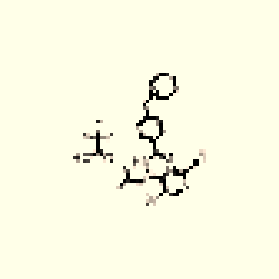 CC(C)CN(NC(=O)c1ccc(CN2CCCCC2)cc1)c1nc(C#N)ncc1Br.O=C(O)C(F)(F)F